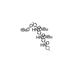 Cc1ccc(C(=O)Nc2ccc(C(=O)Nc3ccc(C(=O)N[C@H]4CC[C@H](C)CC4)cc3OCC(C)C)cc2OCC(C)C)cc1OCCOC(C)(C)C